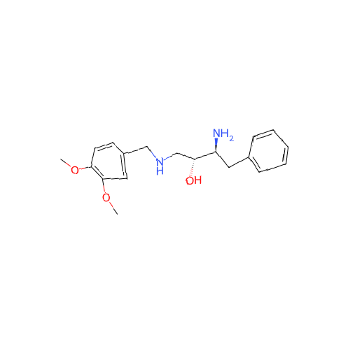 COc1ccc(CNC[C@@H](O)[C@@H](N)Cc2ccccc2)cc1OC